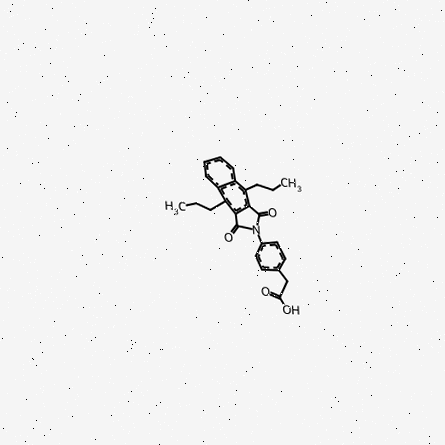 CCCc1c2c(c(CCC)c3ccccc13)C(=O)N(c1ccc(CC(=O)O)cc1)C2=O